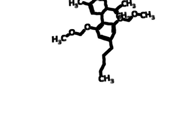 C=C(C)C1CCC(C)=CC1c1c(OCOC)cc(CCCCC)cc1OCOC